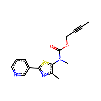 CC#CCOC(=O)N(C)c1sc(-c2cccnc2)nc1C